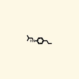 CCCc1ccc(NCC(C)C)cc1